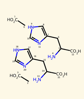 CC(=O)O.CC(=O)O.NC(Cc1c[nH]cn1)C(=O)O.NC(Cc1c[nH]cn1)C(=O)O